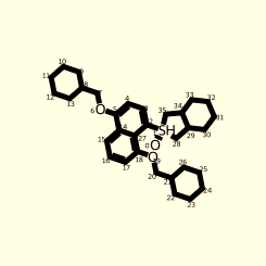 O=[SH]1(c2ccc(OCC3CCCCC3)c3cccc(OCC4CCCCC4)c23)CC2CCCCC2C1